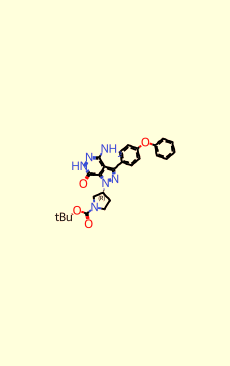 CC(C)(C)OC(=O)N1CC[C@@H](n2nc(-c3ccc(Oc4ccccc4)cc3)c3c(N)n[nH]c(=O)c32)C1